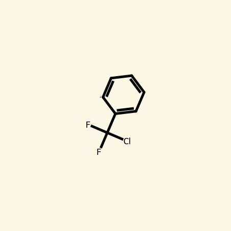 FC(F)(Cl)c1[c]cccc1